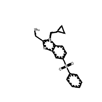 CC(C)(C)Cc1nc2cc(S(=O)(=O)c3ccccc3)ccc2n1CC1CC1